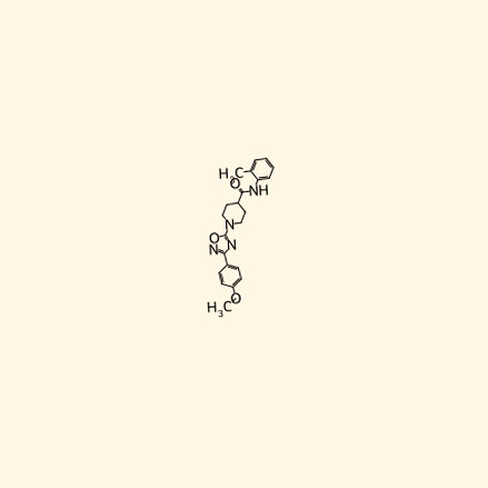 COc1ccc(-c2noc(N3CCC(C(=O)Nc4ccccc4C)CC3)n2)cc1